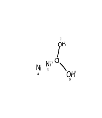 OOO.[Ni].[Ni]